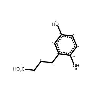 O=C(O)CCCc1cc(O)ccc1O